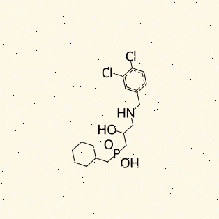 O=P(O)(CC(O)CNCc1ccc(Cl)c(Cl)c1)CC1CCCCC1